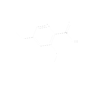 COc1cnc(C(C)=O)c(OC)c1